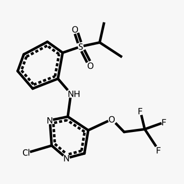 CC(C)S(=O)(=O)c1ccccc1Nc1nc(Cl)ncc1OCC(F)(F)F